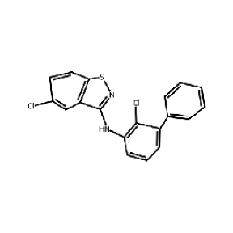 Clc1ccc2snc(Nc3cccc(-c4ccccc4)c3Cl)c2c1